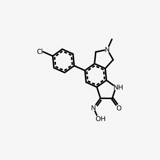 CN1Cc2c(-c3ccc(Cl)cc3)cc3c(c2C1)NC(=O)C3=NO